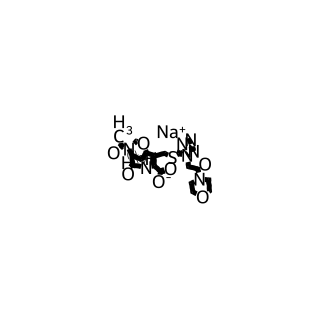 CC(=O)N1COC2C(CSc3nnnn3CC(=O)N3CCOCC3)=C(C(=O)[O-])N3C(=O)[C@@H]1[C@@H]23.[Na+]